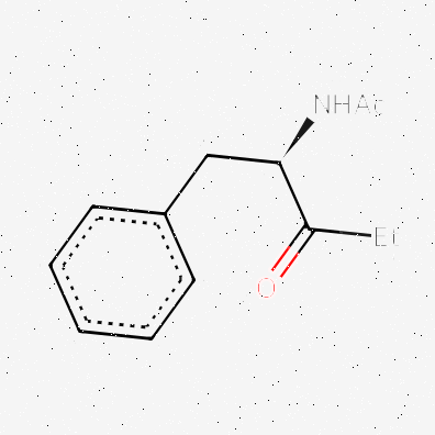 CCC(=O)[C@@H](Cc1ccccc1)NC(C)=O